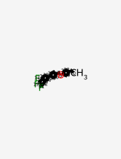 CCc1ccc(OCc2ccc(-c3ccc4c(F)c(F)c(F)cc4c3)cc2)cc1